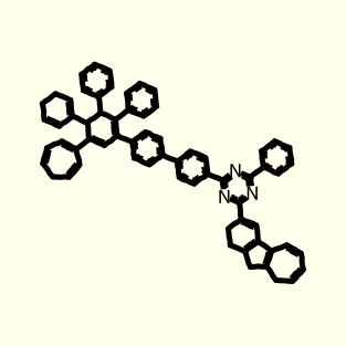 C1=CCC=CC(C2=CC(c3ccc(-c4ccc(-c5nc(C6=CC7=C(CC6)CC6=C7C=CC=CC6)nc(-c6ccccc6)n5)cc4)cc3)=C(c3ccccc3)C(c3ccccc3)C2C2=CCCC=C2)=C1